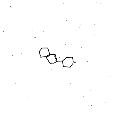 c1cc2c(cc1C1CCNCC1)CCCO2